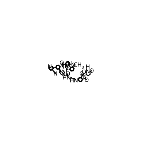 COc1cccc(F)c1-c1nccc(C(=O)Nc2ccc(-c3cnccc3C#N)cc2N2CCN(CC(=O)NCCCNc3ccc4c(c3)C(=O)N(C3CCC(=O)NC3=O)C4=O)CC2)n1